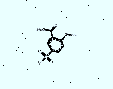 CCCCOc1ccc(S(C)(=O)=O)cc1C(=O)OC